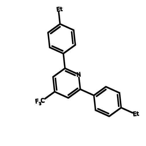 CCc1ccc(-c2cc(C(F)(F)F)cc(-c3ccc(CC)cc3)n2)cc1